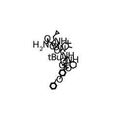 CC1CN(C(=O)[C@@H](NC(=O)NC2(CS(=O)(=O)c3ccc(OCc4ccccc4)cc3)CCCCC2)C(C)(C)C)[C@H](C(=O)NC(CC2CC2)C(=O)C(N)=O)CC1(C)C